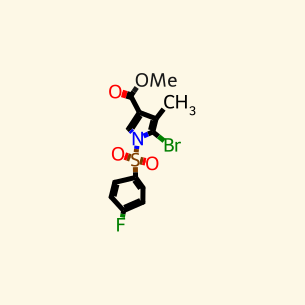 COC(=O)c1cn(S(=O)(=O)c2ccc(F)cc2)c(Br)c1C